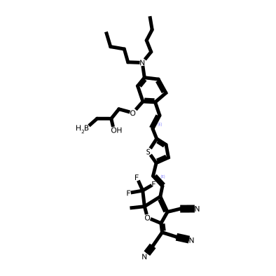 BCC(O)COc1cc(N(CCCC)CCCC)ccc1/C=C/c1ccc(/C=C/C2=C(C#N)C(=C(C#N)C#N)OC2(C)C(F)(F)F)s1